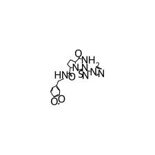 NC(=O)C1CCC(C(=O)NCCc2ccc3c(c2)OCO3)N1c1nc(-n2ccnc2)ns1